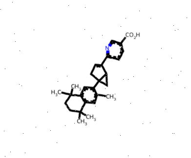 Cc1cc2c(cc1C13CC=C(c4ccc(C(=O)O)cn4)C1C3)C(C)(C)CCC2(C)C